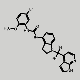 [2H]C([2H])(c1ccnc2[nH]ccc12)N1CCc2c(NC(=O)Nc3cc(Br)ccc3OC)cccc21